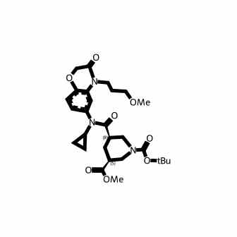 COCCCN1C(=O)COc2ccc(N(C(=O)[C@@H]3C[C@H](C(=O)OC)CN(C(=O)OC(C)(C)C)C3)C3CC3)cc21